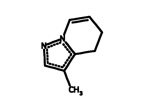 Cc1cnn2c1CCC=C2